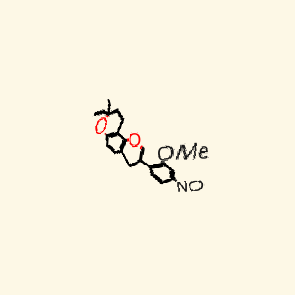 COc1cc(N=O)ccc1C1COc2c(ccc3c2CCC(C)(C)O3)C1